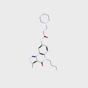 Cc1[nH]nc2c1c(=O)n(CCCN)c1ccc(NC(=O)CCN3CCCCC3)cc21